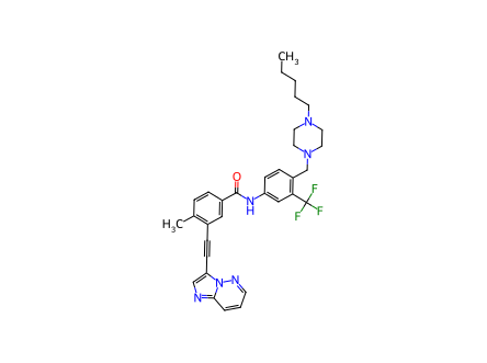 CCCCCN1CCN(Cc2ccc(NC(=O)c3ccc(C)c(C#Cc4cnc5cccnn45)c3)cc2C(F)(F)F)CC1